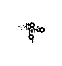 Nc1nc(NCc2ccc(F)cc2)c2c(Cc3cc4ccccc4s3)cccc2n1